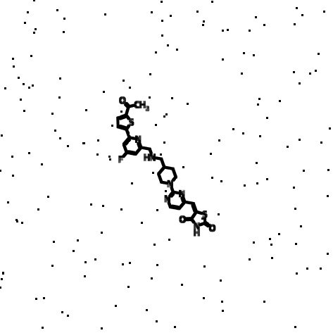 CC(=O)c1ccc(-c2cc(F)cc(CNCC3CCN(c4nccc(/C=C5/SC(=O)NC5=O)n4)CC3)n2)s1